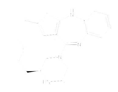 CO[C@@H](C)C[C@H]1CN(C2=Nc3ccccc3Nc3sc(C)cc32)CCN1